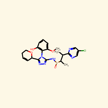 COc1cccc(O)c1-n1c(N[S+]([O-])C(C)C(C)c2ncc(Cl)cn2)nnc1C1C=CCCO1